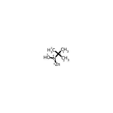 CC(C)(C)[N](O)[Zn]